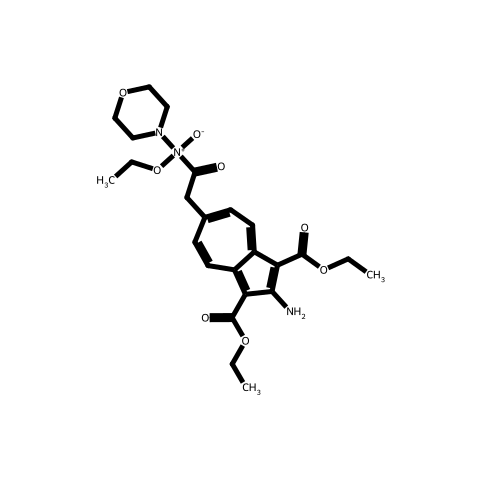 CCOC(=O)c1c2ccc(CC(=O)[N+]([O-])(OCC)N3CCOCC3)ccc-2c(C(=O)OCC)c1N